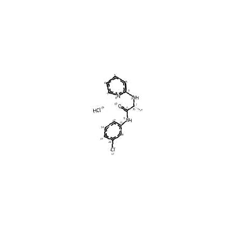 C[C@@H](Nc1ccccn1)C(=O)Nc1cccc(Cl)c1.Cl